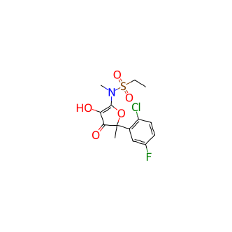 CCS(=O)(=O)N(C)C1=C(O)C(=O)C(C)(c2cc(F)ccc2Cl)O1